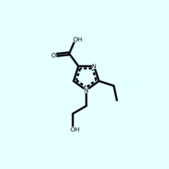 CCc1nc(C(=O)O)cn1CCO